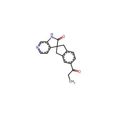 CCC(=O)c1ccc2c(c1)CC1(C2)C(=O)Nc2cnccc21